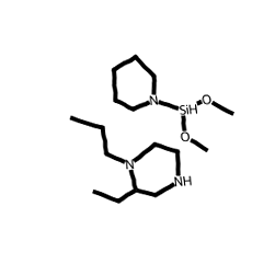 CCCN1CCNCC1CC.CO[SiH](OC)N1CCCCC1